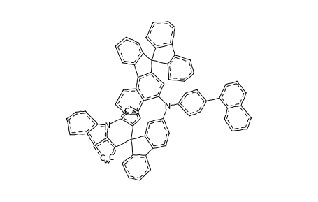 c1ccc2c(c1)-c1ccccc1C21c2ccccc2-c2c1cc(N(c1ccc(-c3cccc4ccccc34)cc1)c1ccc3c(c1)C1(c4ccccc4-3)c3ccccc3-n3c4ccccc4c4cccc1c43)c1ccccc21